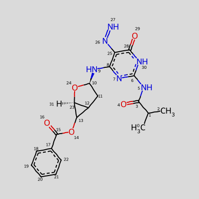 CC(C)C(=O)Nc1nc(N[C@H]2CC3C(OC(=O)c4ccccc4)[C@H]3O2)c(N=N)c(=O)[nH]1